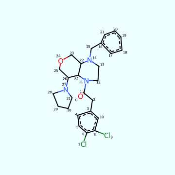 O=C(Cc1ccc(Cl)c(Cl)c1)N1CCN(Cc2ccccc2)C2COCC(N3CCCC3)C21